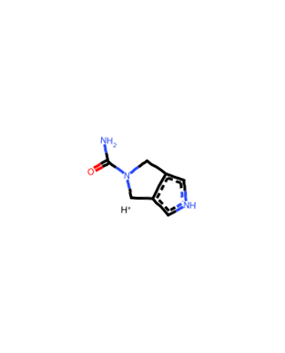 NC(=O)N1Cc2c[nH]cc2C1.[H+]